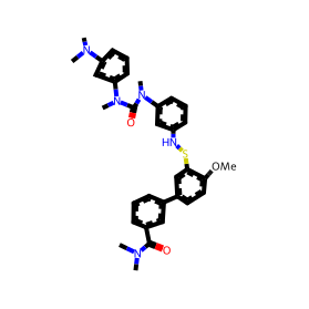 COc1ccc(-c2cccc(C(=O)N(C)C)c2)cc1SNc1cccc(N(C)C(=O)N(C)c2cccc(N(C)C)c2)c1